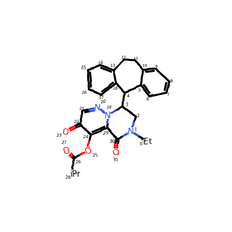 CCN1CC(C2c3ccccc3CCc3ccccc32)n2ncc(=O)c(OC(=O)C(C)C)c2C1=O